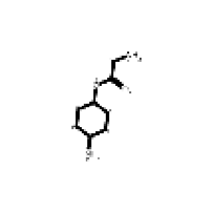 NCC(=O)OC1CCC(N)CC1